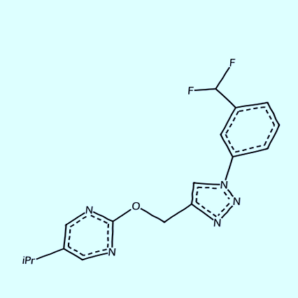 CC(C)c1cnc(OCc2cn(-c3cccc(C(F)F)c3)nn2)nc1